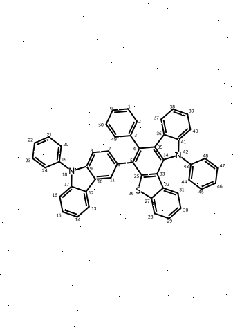 c1ccc(-c2c(-c3ccc4c(c3)c3ccccc3n4-c3ccccc3)c3sc4ccccc4c3c3c2c2ccccc2n3-c2ccccc2)cc1